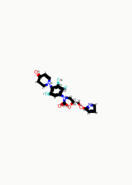 O=C1C=CN(c2c(F)cc(N3C[C@H](COC4=NCC=C4)OC3=O)c(F)c2F)CC1